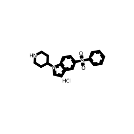 Cl.O=S(=O)(c1ccccc1)c1ccc2c(ccn2C2CCNCC2)c1